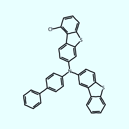 Clc1cccc2sc3cc(N(c4ccc(-c5ccccc5)cc4)c4ccc5sc6ccccc6c5c4)ccc3c12